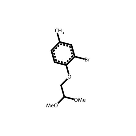 COC(COc1ccc(C)cc1Br)OC